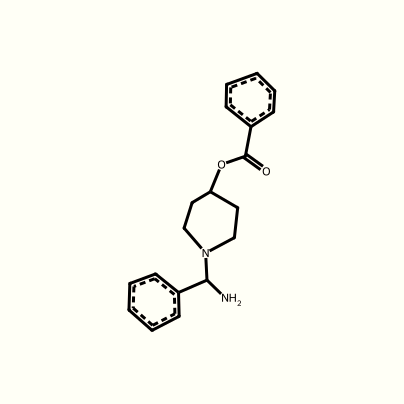 NC(c1ccccc1)N1CCC(OC(=O)c2ccccc2)CC1